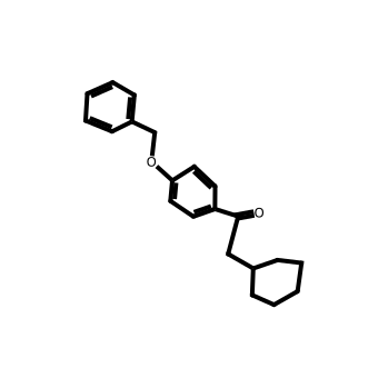 O=C(CC1CCCCC1)c1ccc(OCc2ccccc2)cc1